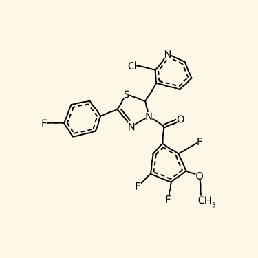 COc1c(F)c(F)cc(C(=O)N2N=C(c3ccc(F)cc3)SC2c2cccnc2Cl)c1F